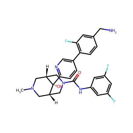 CN1C[C@@H]2CN(C(=O)Nc3cc(F)cc(F)c3)C[C@H](C1)[C@]2(O)c1ccc(-c2ccc(CN)cc2F)cn1